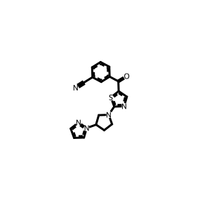 N#Cc1cccc(C(=O)c2cnc(N3CCC(n4cccn4)C3)s2)c1